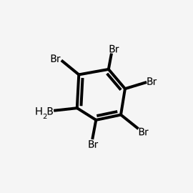 Bc1c(Br)c(Br)c(Br)c(Br)c1Br